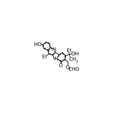 CCc1c2c(nc3ccc(O)cc13)-c1cc([C@@](C)(O)CC)c(COC=O)c(=O)n1C2